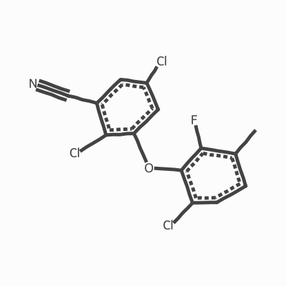 Cc1ccc(Cl)c(Oc2cc(Cl)cc(C#N)c2Cl)c1F